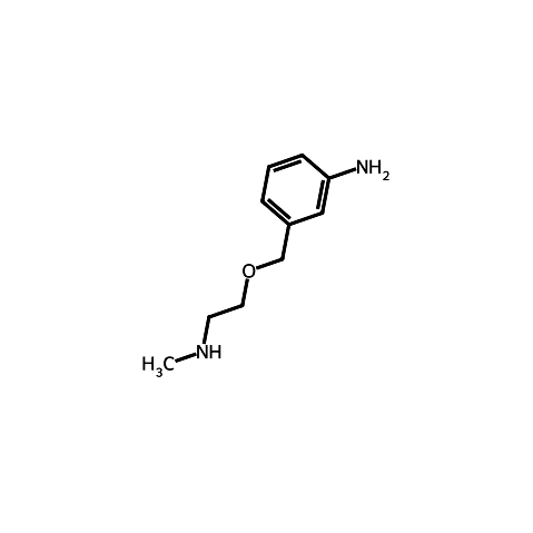 CNCCOCc1cccc(N)c1